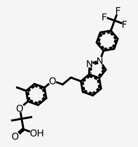 Cc1cc(OCCc2cccc3cn(-c4ccc(C(F)(F)F)cc4)nc23)ccc1OC(C)(C)C(=O)O